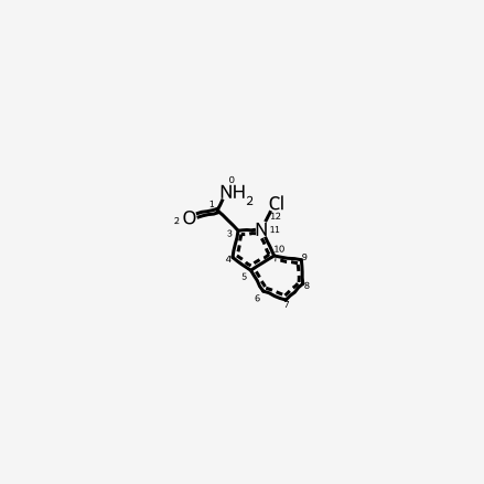 NC(=O)c1cc2ccccc2n1Cl